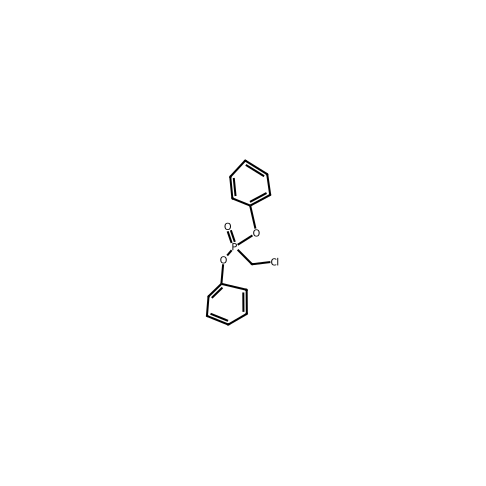 O=P(CCl)(Oc1ccccc1)Oc1ccccc1